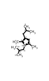 Cc1cc(CC(C)C)c(C)n1CC(C)C